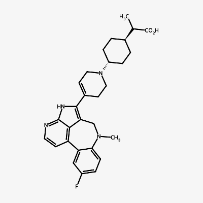 CC(C(=O)O)[C@H]1CC[C@H](N2CC=C(c3[nH]c4nccc5c4c3CN(C)c3ccc(F)cc3-5)CC2)CC1